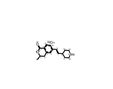 CC1Cc2cc(C=CC3CCNCC3)ccc2C(=O)O1.Cl